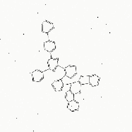 c1ccc(-c2ccc(-c3cc(-c4ccccc4)nc(-c4cccc5c4-c4ccccc4C54c5ccc6ccccc6c5Sc5c4ccc4ccccc54)n3)cc2)cc1